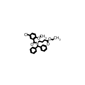 CCOC(=O)CCCN(C(=O)c1cc(Cl)ccc1OC)C(c1ccccc1)c1ccccc1